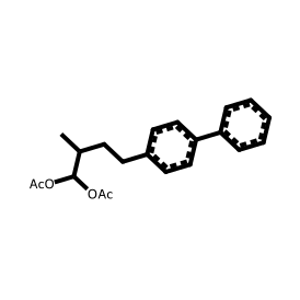 CC(=O)OC(OC(C)=O)C(C)CCc1ccc(-c2ccccc2)cc1